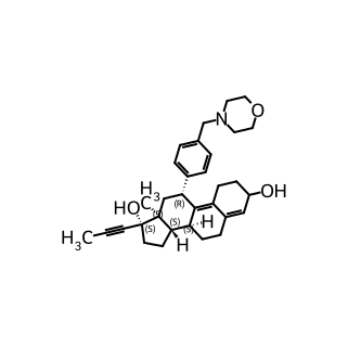 CC#C[C@]1(O)CC[C@H]2[C@@H]3CCC4=CC(O)CCC4=C3[C@@H](c3ccc(CN4CCOCC4)cc3)C[C@@]21C